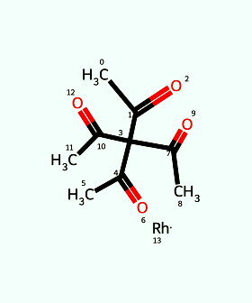 CC(=O)C(C(C)=O)(C(C)=O)C(C)=O.[Rh]